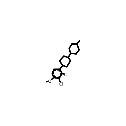 COc1ccc(C2CCC(C3CCC(C)CC3)CC2)c(Cl)c1Cl